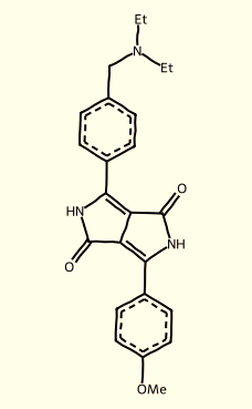 CCN(CC)Cc1ccc(C2=C3C(=O)NC(c4ccc(OC)cc4)=C3C(=O)N2)cc1